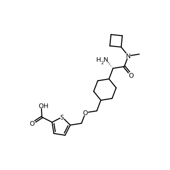 CN(C(=O)[C@@H](N)C1CCC(COCc2ccc(C(=O)O)s2)CC1)C1CCC1